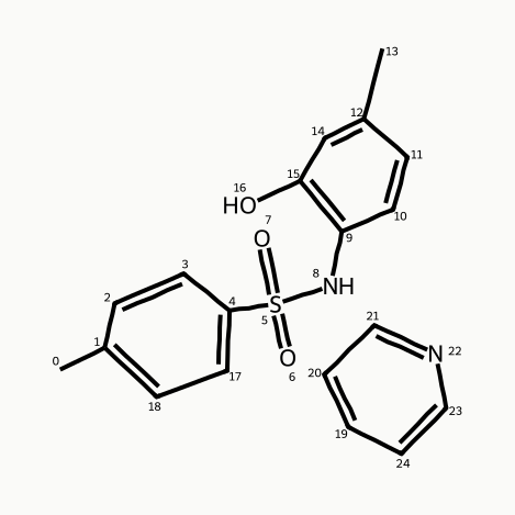 Cc1ccc(S(=O)(=O)Nc2ccc(C)cc2O)cc1.c1ccncc1